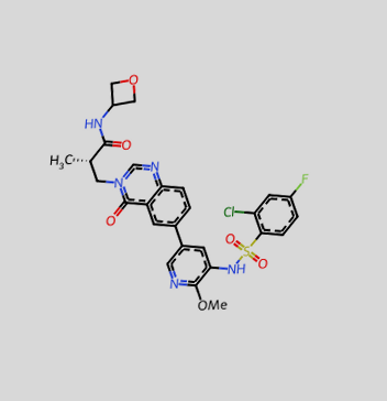 COc1ncc(-c2ccc3ncn(C[C@H](C)C(=O)NC4COC4)c(=O)c3c2)cc1NS(=O)(=O)c1ccc(F)cc1Cl